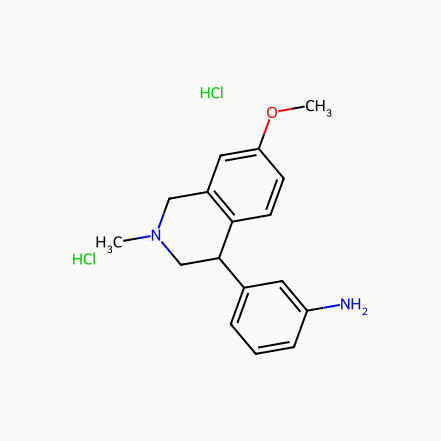 COc1ccc2c(c1)CN(C)CC2c1cccc(N)c1.Cl.Cl